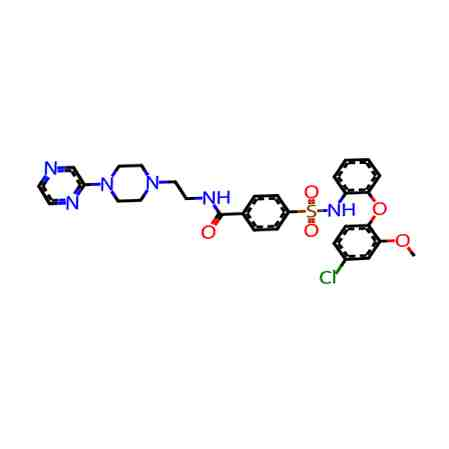 COc1cc(Cl)ccc1Oc1ccccc1NS(=O)(=O)c1ccc(C(=O)NCCN2CCN(c3cnccn3)CC2)cc1